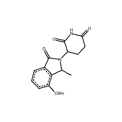 COc1cccc2c1C(C)N(C1CCC(=O)NC1=O)C2=O